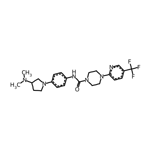 CN(C)C1CCN(c2ccc(NC(=O)N3CCN(c4ccc(C(F)(F)F)cn4)CC3)cc2)C1